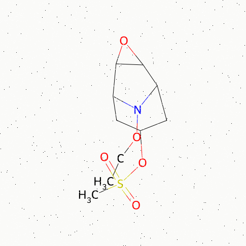 CCON1C2CC(OS(C)(=O)=O)CC1C1OC12